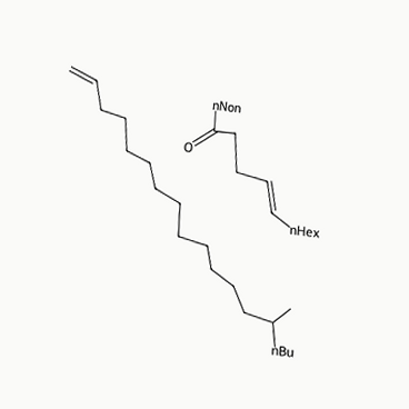 C=CCCCCCCCCCCCC(C)CCCC.CCCCCCC=CCCC(=O)CCCCCCCCC